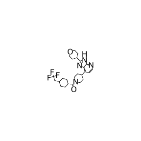 O=C([C@H]1CC[C@H](CC(F)(F)F)CC1)N1CCC(c2ccnc3[nH]c(C4CCOCC4)nc23)CC1